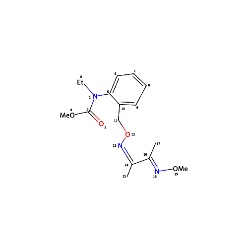 CCN(C(=O)OC)c1ccccc1CON=C(C)/C(C)=N/OC